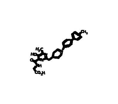 Cc1ccc(-c2ccc(N3CCC(Cc4nc(C)c(O)c(C(=O)NCC(=O)O)n4)CC3)cc2)cc1